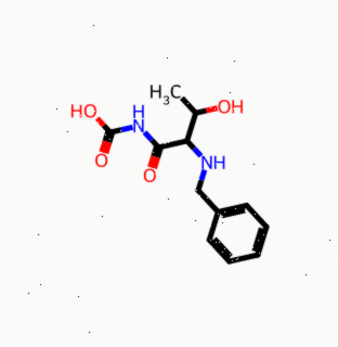 CC(O)C(NCc1ccccc1)C(=O)NC(=O)O